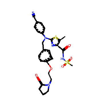 Cc1sc(N(Cc2ccc(OCCN3CCCC3=O)cc2)c2ccc(C#N)cc2)nc1C(=O)NS(C)(=O)=O